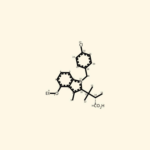 CCOc1cccc2c1c(C)c(C(C)(C)[C@H](C)C(=O)O)n2Cc1ccc(Cl)cc1